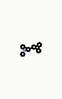 c1ccc2c(c#1)c1ccccc1c1ccc(-c3ccc4c(c3)c3ccccc3n4-c3ccccc3)cc21